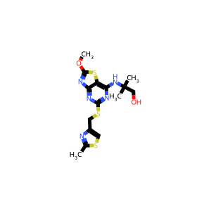 COc1nc2nc(SCc3csc(C)n3)nc(NC(C)(C)CO)c2s1